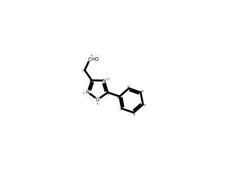 O=CCc1noc(-c2ccccc2)n1